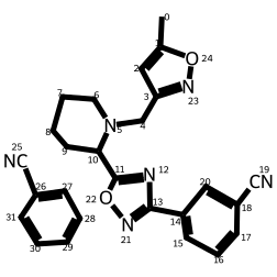 Cc1cc(CN2CCCCC2c2nc(-c3cccc(C#N)c3)no2)no1.N#Cc1ccccc1